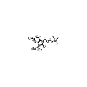 CCCC[C@H](CC)n1c(=O)n(COCC[Si](C)(C)C)c2cnc(Cl)nc21